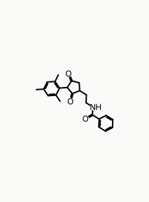 Cc1cc(C)c(C2C(=O)CC(CCNC(=O)c3ccccc3)C2=O)c(C)c1